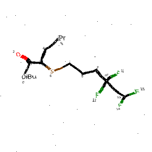 CC(C)COC(=O)C(CC(C)C)SCCCC(F)(F)C(F)F